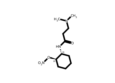 CN(C)CCC(=O)N[C@@H]1CCCC[C@H]1O[N+](=O)[O-]